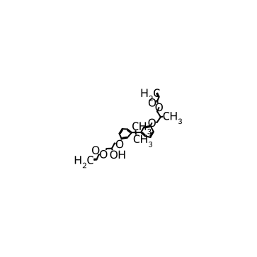 C=CC(=O)OCC(C)COc1cccc(C(C)(C)c2cccc(OCC(O)COC(=O)C=C)c2)c1